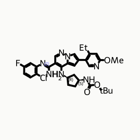 CCc1cc(OC)ncc1-c1cc2c(N[C@@H]3CC[C@H](NC(=O)OC(C)(C)C)C3)c(/C(N)=N/c3cc(F)ccc3Cl)cnn2c1